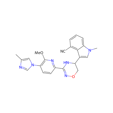 COc1nc(C2=NOCC(c3cn(C)c4cccc(C#N)c34)N2)ccc1-n1cnc(C)c1